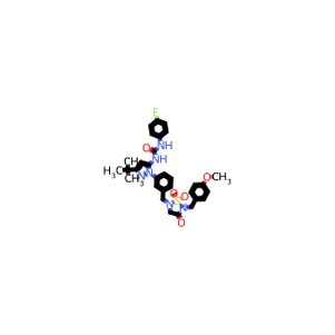 COc1ccc(CN2C(=O)CN(Cc3cccc(-n4nc(C(C)(C)C)cc4NC(=O)Nc4ccc(F)cc4)c3)S2(=O)=O)cc1